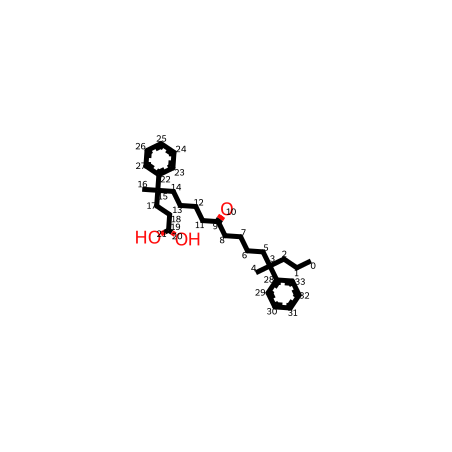 CCCC(C)(CCCCC(=O)CCCCC(C)(CCC(O)O)c1ccccc1)c1ccccc1